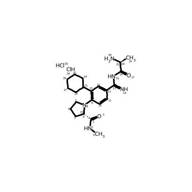 CNC(=O)[C@@H]1CCCN1c1ccc(C(=N)NC(=O)[C@H](C)N)cc1C1CCCCC1.Cl.Cl